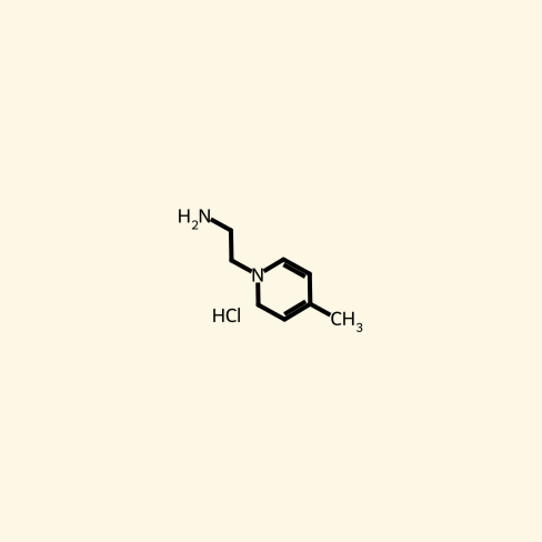 CC1=CCN(CCN)C=C1.Cl